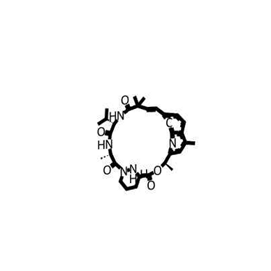 Cc1cc2nc3cc(ccc13)/C=C/C(C)(C)C(=O)N[C@@H](C(C)C)C(=O)N[C@@H](C)C(=O)N1CCC[C@H](N1)C(=O)O[C@@H]2C